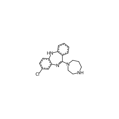 Clc1ccc2c(c1)N=C(N1CCCNCC1)c1ccccc1N2